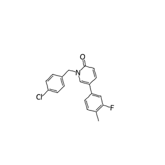 Cc1ccc(-c2ccc(=O)n(Cc3ccc(Cl)cc3)c2)cc1F